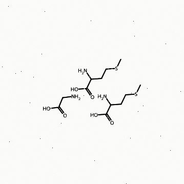 CSCCC(N)C(=O)O.CSCCC(N)C(=O)O.NCC(=O)O